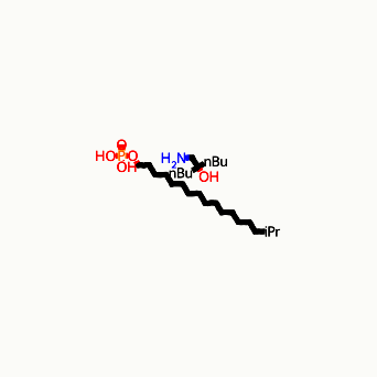 CC(C)CCCCCCCCCCCCCCCOP(=O)(O)O.CCCCC(O)(CN)CCCC